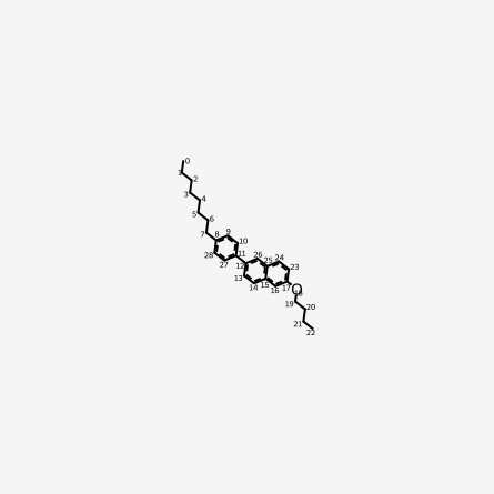 CCCCCCCCc1ccc(-c2ccc3cc(OCCCC)ccc3c2)cc1